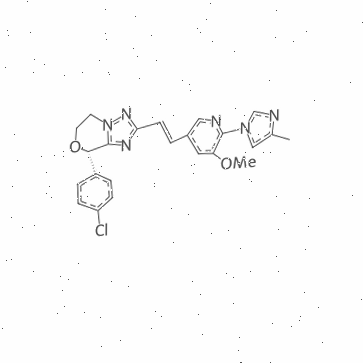 COc1cc(/C=C/c2nc3n(n2)CCO[C@H]3c2ccc(Cl)cc2)cnc1-n1cnc(C)c1